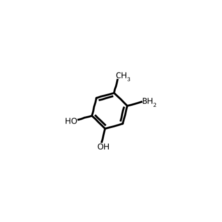 Bc1cc(O)c(O)cc1C